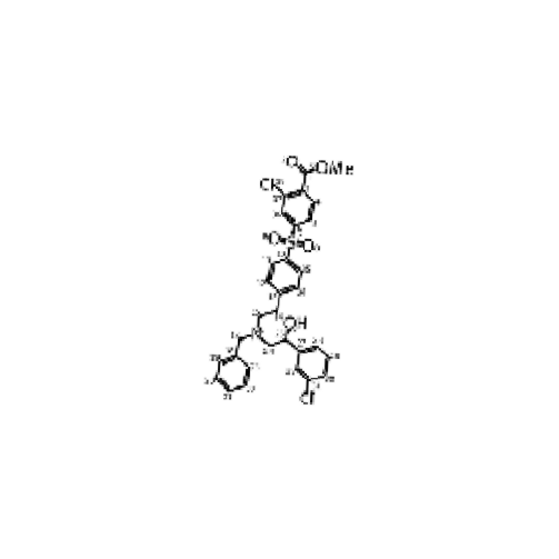 COC(=O)c1ccc(S(=O)(=O)c2ccc(CCN(Cc3ccccc3)C[C@@H](O)c3cccc(Cl)c3)cc2)cc1Cl